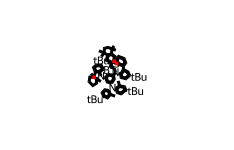 Cc1cc(C(C)(C)C)ccc1N(c1cc2c3c(c1)N1c4c(cc(C(C)(C)C)cc4C4(C)CCCCC14C)B3c1c(sc3cc4c(cc13)C(C)(C)CCC4(C)C)N2c1ccc(C(C)(C)C)cc1-c1ccccc1)c1ccc(C(C)(C)C)cc1C